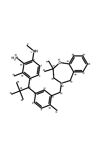 CNc1ccc(C(c2ccc(C)c(CN3Cc4ccccc4OC(C)(C)C3)c2)C(C)(C)C)c(C)c1N